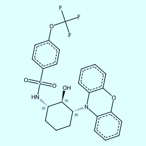 O=S(=O)(N[C@H]1CCC[C@@H](N2c3ccccc3Oc3ccccc32)[C@@H]1O)c1ccc(OC(F)(F)F)cc1